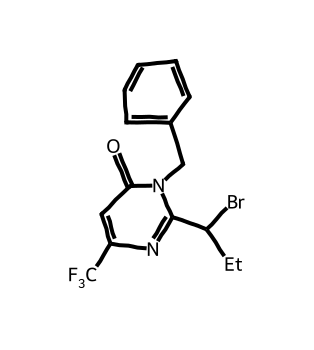 CCC(Br)c1nc(C(F)(F)F)cc(=O)n1Cc1ccccc1